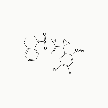 COc1cc(F)c(C(C)C)cc1C1(C(=O)NS(=O)(=O)N2CCCc3ccccc32)CC1